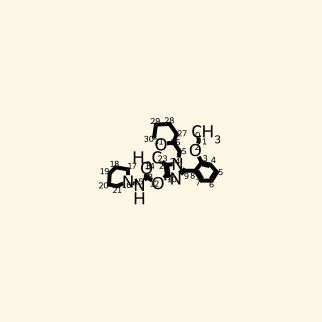 CCOc1ccccc1-c1nc(OC(=O)NN2CCCCC2)c(C)n1CC1CCCCO1